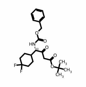 CC(C)(C)OC(=O)CC(=O)[C@@H](NC(=O)OCc1ccccc1)C1CCC(F)(F)CC1